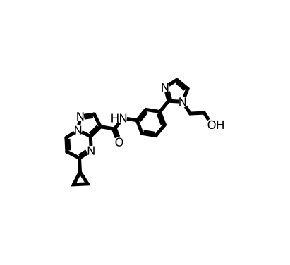 O=C(Nc1cccc(-c2nccn2CCO)c1)c1cnn2ccc(C3CC3)nc12